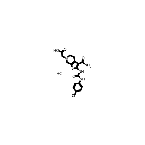 Cl.NC(=O)c1c(NC(=O)Nc2ccc(Cl)cc2)sc2c1CCN(CC(=O)O)C2